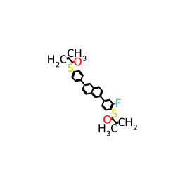 C=C(C)C(=O)Sc1ccc(-c2ccc3cc(-c4ccc(SC(=O)C(=C)C)c(F)c4)ccc3c2)cc1